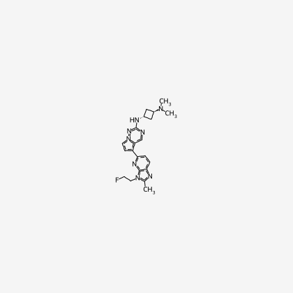 Cc1nc2ccc(-c3ccn4nc(N[C@H]5C[C@H](N(C)C)C5)ncc34)nc2n1CCF